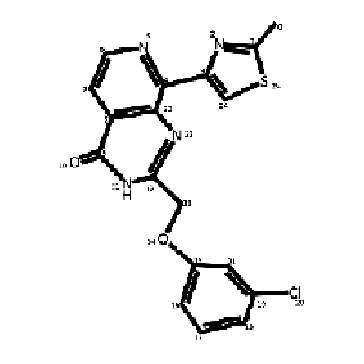 Cc1nc(-c2nccc3c(=O)[nH]c(COc4cccc(Cl)c4)nc23)cs1